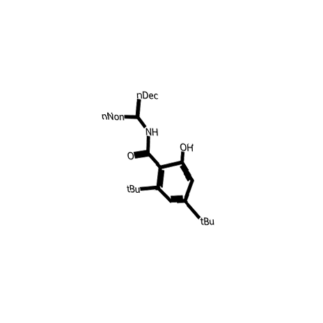 CCCCCCCCCCC(CCCCCCCCC)NC(=O)c1c(O)cc(C(C)(C)C)cc1C(C)(C)C